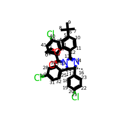 CCOc1cc(C(C)(C)C)ccc1C1=N[C@@](C)(c2ccc(Cl)cc2)[C@@](C)(c2ccc(Cl)cc2)N1C(=O)c1ccc(Cl)cc1